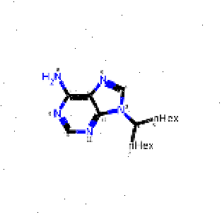 CCCCCCC(CCCCCC)n1cnc2c(N)ncnc21